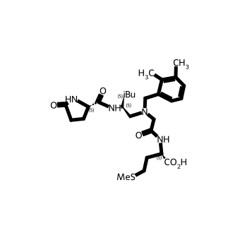 CC[C@H](C)[C@@H](CN(CC(=O)N[C@@H](CCSC)C(=O)O)Cc1cccc(C)c1C)NC(=O)[C@@H]1CCC(=O)N1